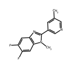 Cc1cncc(-c2nc3cc(F)c(F)cc3n2C)c1